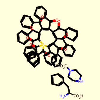 CCOC(=O)N1CCNCC1.N[C@@H](Cc1ccccc1)C(=O)O.O=C(C1=C(C(=O)c2ccccc2)C(C(=O)c2ccccc2)=C(C(=O)c2ccccc2)S(C(=O)c2ccccc2)(C(=O)c2ccccc2)C(c2ccccc2)=C(C(=O)c2ccccc2)C(C(=O)c2ccccc2)=C1C(=O)c1ccccc1)c1ccccc1